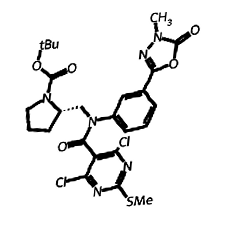 CSc1nc(Cl)c(C(=O)N(C[C@@H]2CCCN2C(=O)OC(C)(C)C)c2cccc(-c3nn(C)c(=O)o3)c2)c(Cl)n1